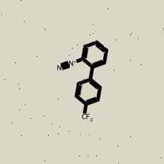 N#[N+]c1ccccc1-c1ccc(C(F)(F)F)cc1